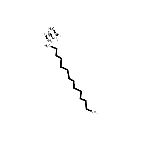 CN.CN.CN.[CH2]CCCCCCCCCCCCC